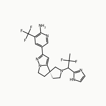 CC(F)(F)C(c1ncc[nH]1)N1CC[C@@]2(CCn3nc(-c4cnc(N)c(C(F)(F)F)c4)cc32)C1